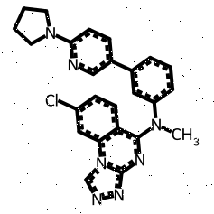 CN(c1cccc(-c2ccc(N3CCCC3)nc2)c1)c1nc2nncn2c2cc(Cl)ccc12